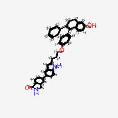 O=C1NCc2cc(-c3ccc4[nH]c(CCCOc5ccc([C@@H]6c7ccc(O)cc7CC[C@@H]6C6C=CC=CC6)cc5)cc4c3)ccc21